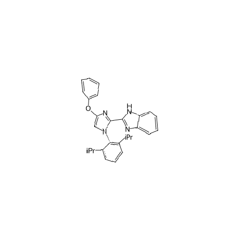 CC(C)c1cccc(C(C)C)c1-n1cc(Oc2ccccc2)nc1-c1nc2ccccc2[nH]1